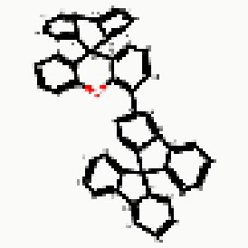 c1ccc2c(c1)Oc1c(-c3ccc4c(c3)-c3ccccc3C43c4ccccc4-c4ccccc43)cccc1C21c2ccccc2-c2ccccc21